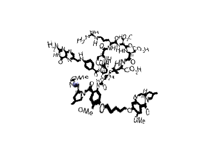 C=C1C[C@H]2C=Nc3cc(OCCCCCOc4cc(NC(=O)OCCSSC(C)(C)[C@H](NC(=O)[C@H](CC(=O)O)NC(=O)[C@H](CC(=O)O)NC(=O)[C@H](CCCNC(=N)N)NC(=O)[C@H](CC(=O)O)NC(=O)CC[C@H](NC(=O)c5ccc(NCc6cnc7nc(N)[nH]c(=O)c7n6)cc5)C(=O)O)C(=O)O)c(C(=O)N5CC(=C)C[C@H]5/C=N/OC)cc4OC)c(OC)cc3C(=O)N2C1